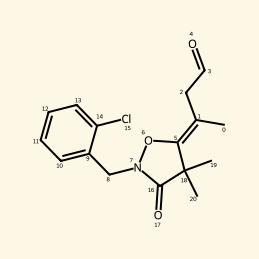 CC(CC=O)=C1ON(Cc2ccccc2Cl)C(=O)C1(C)C